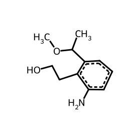 COC(C)c1cccc(N)c1CCO